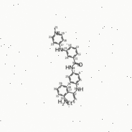 CC/C=C(/Nc1ccc(NC(=O)c2cccc(Nc3cc[n+](C)cc3)c2)cc1)c1ccccc1N